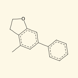 Cc1cc(-c2ccccc2)cc2c1CCO2